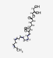 CC/C=C\C/C=C\C/C=C\C/C=C\C=C\C(CCCCCC(=O)OCC(O)CO)OO